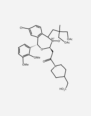 COc1cccc([C@H]2O[C@H](CC(=O)N3CCC(CC(=O)O)CC3)[NH+]([O-])C(CC(C)(COC(C)=O)COC(C)=O)c3ccc(Cl)cc32)c1OC